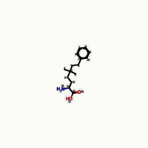 CC(C)(CCc1ccccc1)CC[C@H](N)C(=O)O